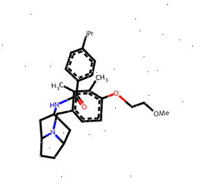 COCCOc1ccc(CN2C3CCC2CC(NC(=O)c2ccc(C(C)C)cc2)C3)c(C)c1C